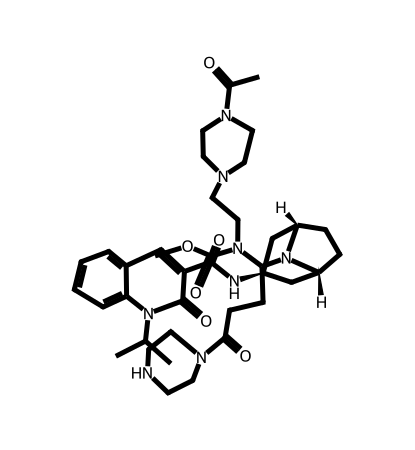 COC(=O)N(CCN1CCN(C(C)=O)CC1)C(CCC(=O)N1CCNCC1)N1[C@@H]2CC[C@H]1C[C@H](NC(=O)c1cc3ccccc3n(C(C)C)c1=O)C2